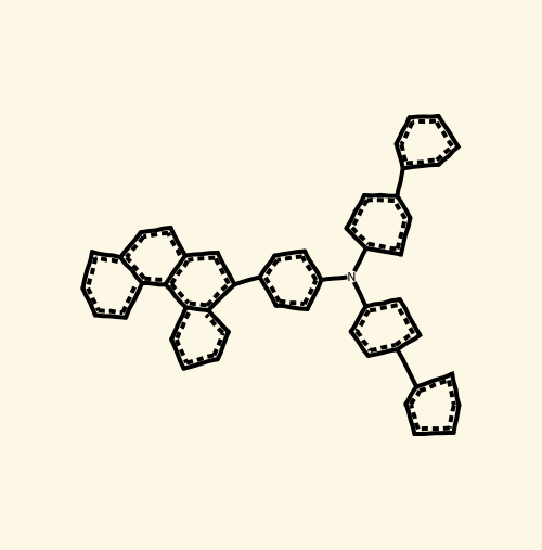 c1ccc(-c2ccc(N(c3ccc(-c4ccccc4)cc3)c3ccc(-c4cc5ccc6ccccc6c5c5ccccc45)cc3)cc2)cc1